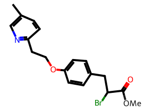 COC(=O)C(Br)Cc1ccc(OCCc2ccc(C)cn2)cc1